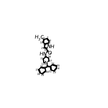 Cc1ccc2[nH]c(C(=O)NC3CCN(C(c4ccccc4)c4ccccc4)CC3)cc2c1